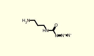 [N-]=[N+]=NC(=O)NCCCN